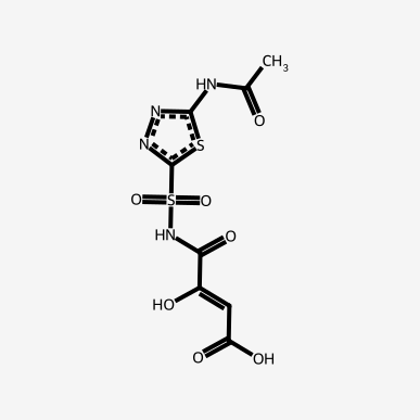 CC(=O)Nc1nnc(S(=O)(=O)NC(=O)C(O)=CC(=O)O)s1